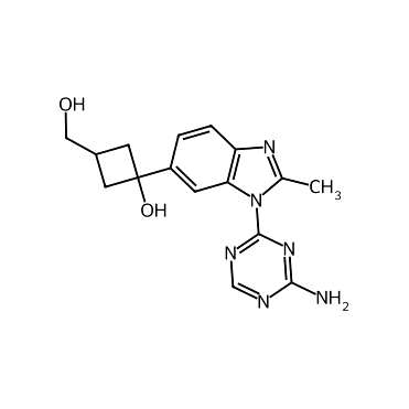 Cc1nc2ccc(C3(O)CC(CO)C3)cc2n1-c1ncnc(N)n1